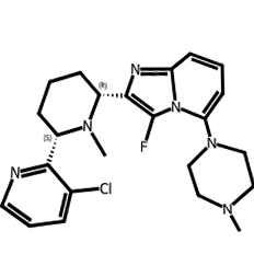 CN1CCN(c2cccc3nc([C@H]4CCC[C@@H](c5ncccc5Cl)N4C)c(F)n23)CC1